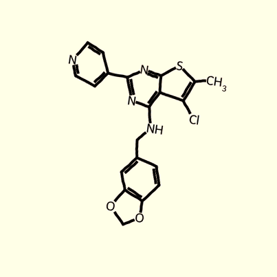 Cc1sc2nc(-c3ccncc3)nc(NCc3ccc4c(c3)OCO4)c2c1Cl